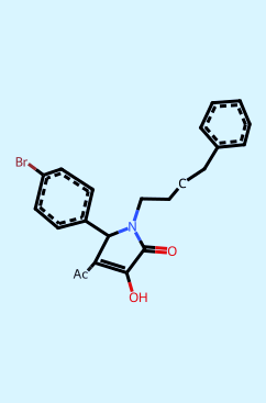 CC(=O)C1=C(O)C(=O)N(CCCCc2ccccc2)C1c1ccc(Br)cc1